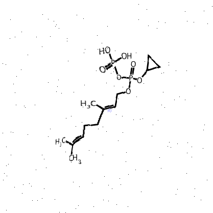 CC(C)=CCC/C(C)=C/COP(=O)(OC1CC1)OP(=O)(O)O